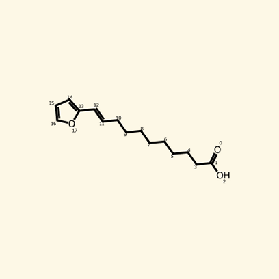 O=C(O)CCCCCCCC/C=C/c1ccco1